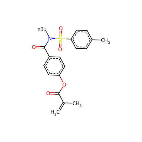 C=C(C)C(=O)Oc1ccc(C(=O)N(CCCC)S(=O)(=O)c2ccc(C)cc2)cc1